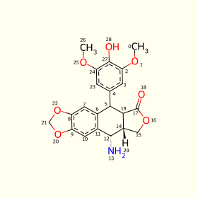 COc1cc(C2c3cc4c(cc3[C@@H](N)[C@H]3COC(=O)C23)OCO4)cc(OC)c1O